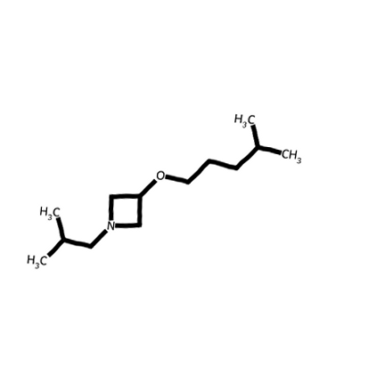 CC(C)CCCOC1CN(CC(C)C)C1